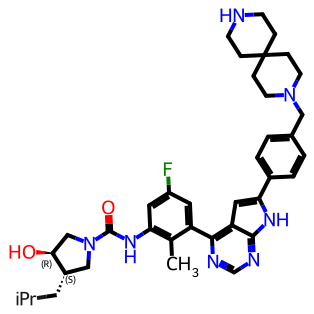 Cc1c(NC(=O)N2C[C@H](CC(C)C)[C@@H](O)C2)cc(F)cc1-c1ncnc2[nH]c(-c3ccc(CN4CCC5(CCNCC5)CC4)cc3)cc12